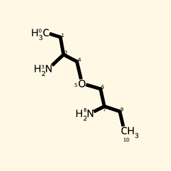 CCC(N)COCC(N)CC